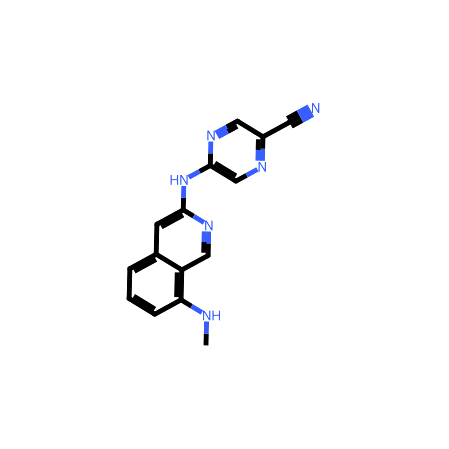 CNc1cccc2cc(Nc3cnc(C#N)cn3)ncc12